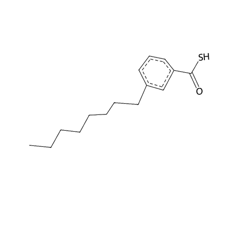 CCCCCCCCc1cccc(C(=O)S)c1